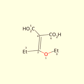 CCOC(CC)=C(C(=O)O)C(=O)O